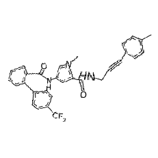 Cc1ccc(C#CCNC(=O)c2cc(NC(=O)c3ccccc3-c3ccc(C(F)(F)F)cc3)cn2C)cc1